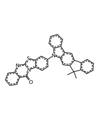 CC1(C)c2ccccc2-c2cc3c4ccccc4n(-c4ccc5c(c4)sc4nc6ccccc6c(=O)n45)c3cc21